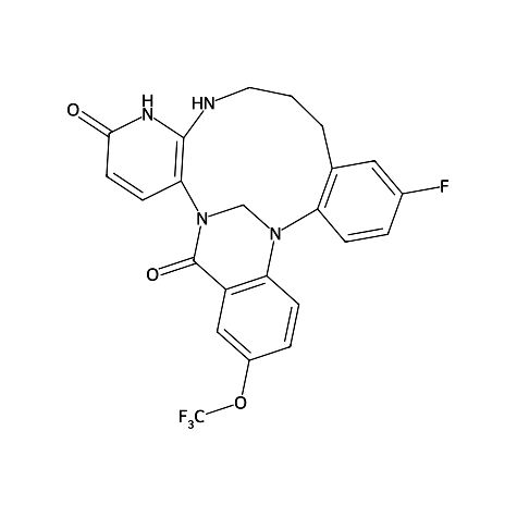 O=C1c2cc(OC(F)(F)F)ccc2N2CN1c1ccc(=O)[nH]c1NCCCc1cc(F)ccc12